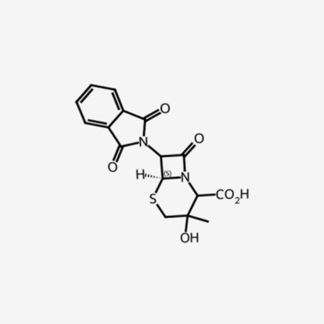 CC1(O)CS[C@H]2C(N3C(=O)c4ccccc4C3=O)C(=O)N2C1C(=O)O